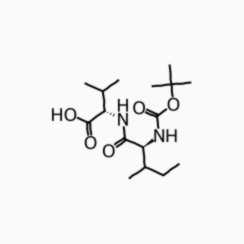 CCC(C)[C@H](NC(=O)OC(C)(C)C)C(=O)N[C@H](C(=O)O)C(C)C